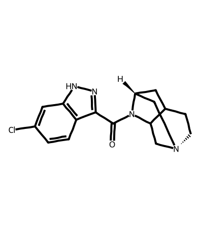 O=C(c1n[nH]c2cc(Cl)ccc12)N1C2C[N@@]3CCC2C[C@@H]1C3